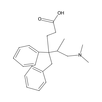 CC(CN(C)C)C(CCC(=O)O)(Cc1ccccc1)c1ccccc1